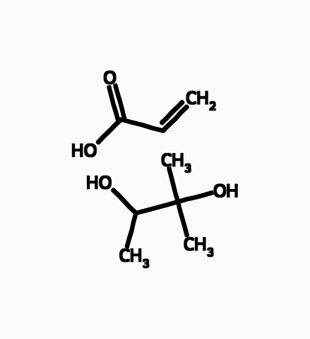 C=CC(=O)O.CC(O)C(C)(C)O